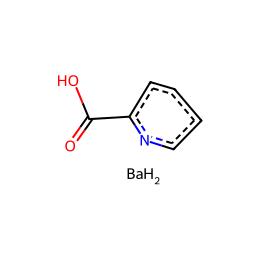 O=C(O)c1ccccn1.[BaH2]